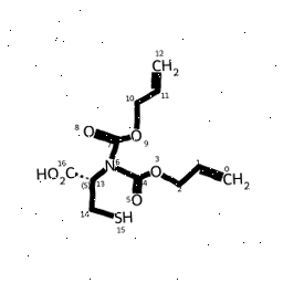 C=CCOC(=O)N(C(=O)OCC=C)[C@H](CS)C(=O)O